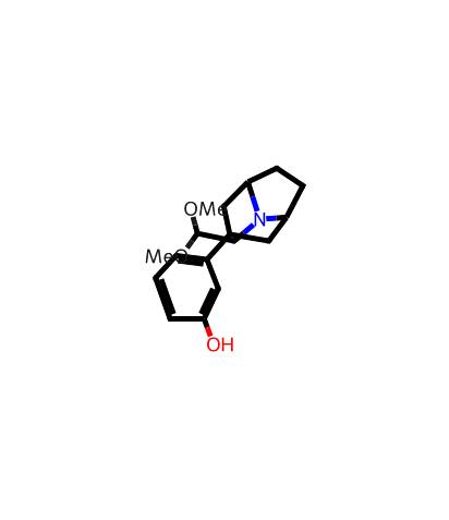 COC(CN1C2CCC1CC(c1cccc(O)c1)C2)OC